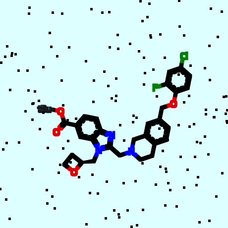 CC(C)(C)OC(=O)c1ccc2nc(CN3CCc4ccc(COc5ccc(Cl)cc5F)cc4C3)n(C[C@@H]3CCO3)c2c1